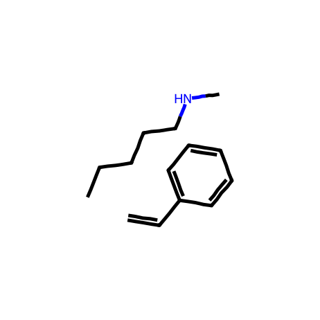 C=Cc1ccccc1.CCCCCNC